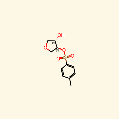 Cc1ccc(S(=O)(=O)O[C@H]2COC[C@@H]2O)cc1